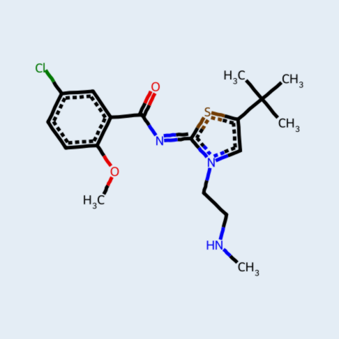 CNCCn1cc(C(C)(C)C)sc1=NC(=O)c1cc(Cl)ccc1OC